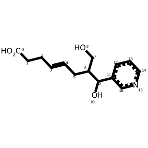 O=C(O)CC/C=C/CC(CO)C(O)c1cccnc1